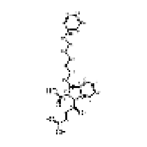 O=C(O)CCC(=O)C1c2ccccc2N(CCCCCCCc2ccccc2)C1C(=O)O